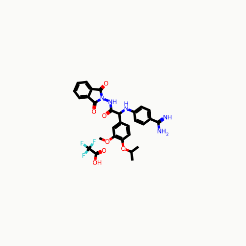 COc1cc(C(Nc2ccc(C(=N)N)cc2)C(=O)NN2C(=O)c3ccccc3C2=O)ccc1OC(C)C.O=C(O)C(F)(F)F